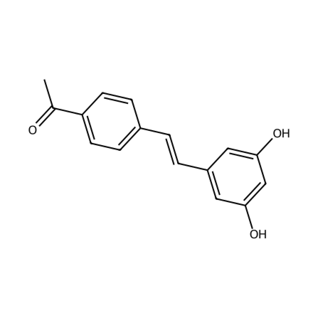 CC(=O)c1ccc(/C=C/c2cc(O)cc(O)c2)cc1